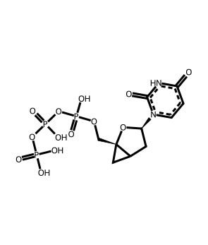 O=c1ccn([C@H]2CC3C[C@]3(COP(=O)(O)OP(=O)(O)OP(=O)(O)O)O2)c(=O)[nH]1